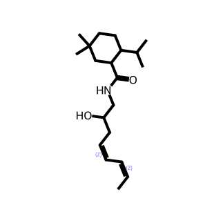 C/C=C\C=C/CC(O)CNC(=O)C1CC(C)(C)CCC1C(C)C